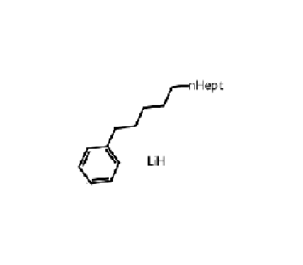 CCCCCCCCCCCCc1cc[c]cc1.[LiH]